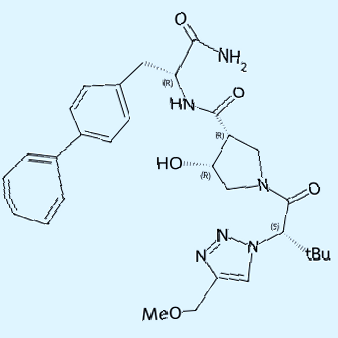 COCc1cn([C@H](C(=O)N2C[C@H](O)[C@H](C(=O)N[C@H](Cc3ccc(-c4ccccc4)cc3)C(N)=O)C2)C(C)(C)C)nn1